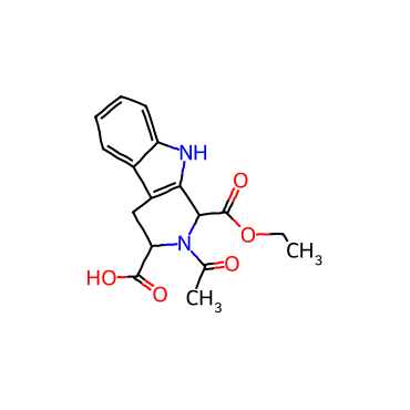 CCOC(=O)C1c2[nH]c3ccccc3c2CC(C(=O)O)N1C(C)=O